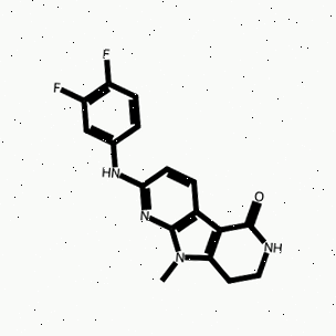 Cn1c2c(c3ccc(Nc4ccc(F)c(F)c4)nc31)C(=O)NCC2